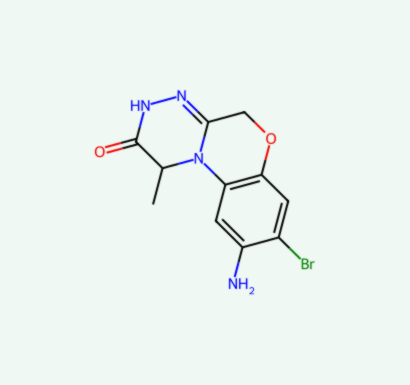 CC1C(=O)NN=C2COc3cc(Br)c(N)cc3N21